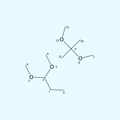 CCC(OC)OC.COC(C)(C)OC